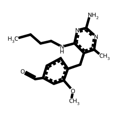 CCCCNc1nc(N)nc(C)c1Cc1ccc(C=O)cc1OC